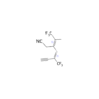 C#C/C(=C\C(CC#N)=C(/C)C(F)(F)F)C(F)(F)F